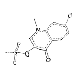 Cn1cc(OS(C)(=O)=O)c(=O)c2ccc(Cl)cc21